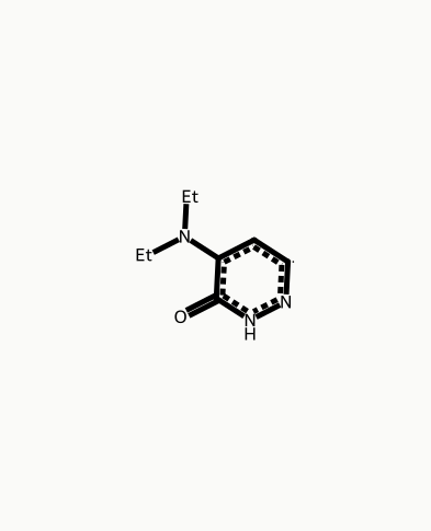 CCN(CC)c1c[c]n[nH]c1=O